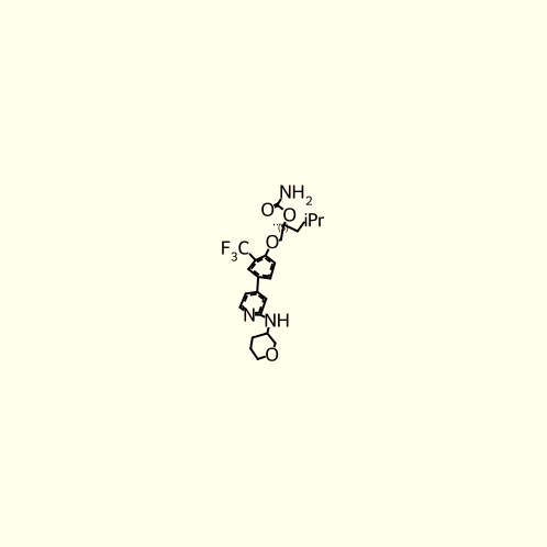 CC(C)C[C@@](C)(COc1ccc(-c2ccnc(NC3CCCOC3)c2)cc1C(F)(F)F)OC(N)=O